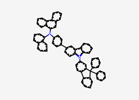 c1ccc(C2(c3ccccc3)c3ccccc3-c3ccc(-n4c5ccccc5c5cc(-c6ccc(N(c7cccc8ccccc78)c7cc8ccccc8c8ccccc78)cc6)ccc54)cc32)cc1